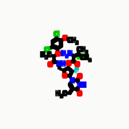 CCc1cn([C@@H]2O[C@H](CNC(=O)[C@H](C)Oc3cc(OC)c(Cl)cc3Cl)[C@@H](OC(=O)[C@@H](N)C(C)C)[C@@H]2F)c(=O)[nH]c1=O.Cl